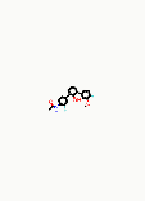 COc1cc(-c2cccc(-c3ccc(NC(C)=O)c(F)c3)c2O)ccc1F